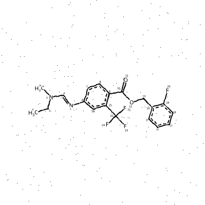 CCN(C)/C=N/c1ccc(C(=O)OCc2ccccc2F)c(C(F)(F)F)c1